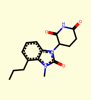 CCCc1cccc2c1n(C)c(=O)n2C1CCC(=O)NC1=O